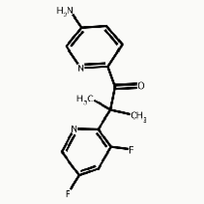 CC(C)(C(=O)c1ccc(N)cn1)c1ncc(F)cc1F